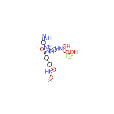 Cc1cc(C(=O)NCCOC(C)(C)C)ccc1-c1ccc(C[C@H](NC(=O)[C@H]2CC[C@H](CNC(=O)O)CC2)C(=O)Nc2ccc3cn[nH]c3c2)cc1.O=C(O)C(F)(F)F